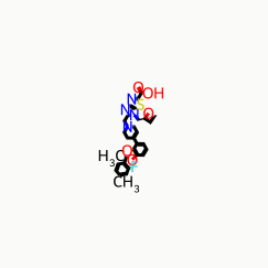 Cc1ccc([C@]2(C)Oc3cccc(C4=CCN(Cc5nc6nc(C(=O)O)sc6n5C[C@@H]5CCO5)CC4)c3O2)c(F)c1